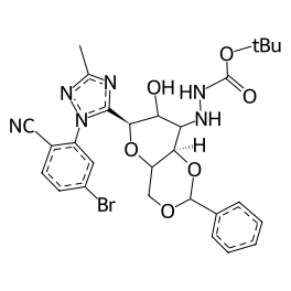 Cc1nc([C@@H]2OC3COC(c4ccccc4)O[C@@H]3C(NNC(=O)OC(C)(C)C)C2O)n(-c2cc(Br)ccc2C#N)n1